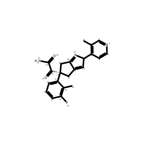 Cc1cnccc1C1C=C2C[C@@](C(=O)C(N)=O)(c3cccc(F)c3C)CC2=N1